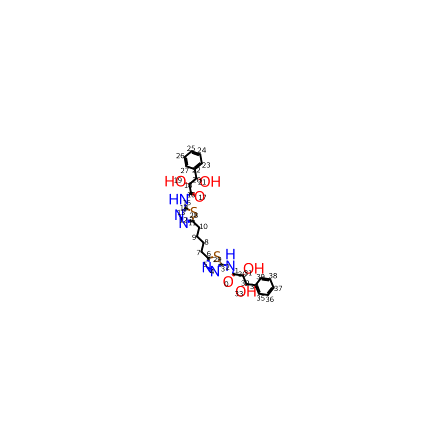 O=C(Nc1nnc(CCCCc2nnc(NC(=O)[C@H](O)[C@@H](O)c3ccccc3)s2)s1)[C@H](O)[C@@H](O)c1ccccc1